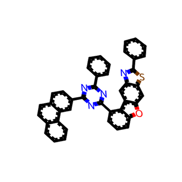 c1ccc(-c2nc(-c3ccc4ccc5ccccc5c4c3)nc(-c3cccc4oc5cc6sc(-c7ccccc7)nc6cc5c34)n2)cc1